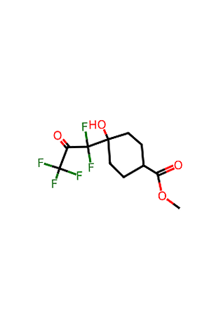 COC(=O)C1CCC(O)(C(F)(F)C(=O)C(F)(F)F)CC1